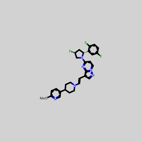 COc1ccc(C2CCN(/C=C/c3cnn4ccc(N5C[C@@H](F)C[C@@H]5c5cc(F)ccc5F)nc34)CC2)cn1